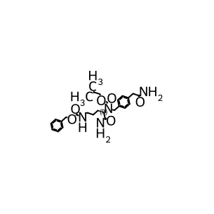 CC(C)COC(=O)N(Cc1ccc(CC(N)=O)cc1)[C@H](CCCNC(=O)OCc1ccccc1)C(N)=O